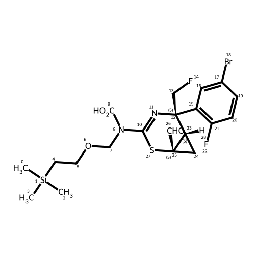 C[Si](C)(C)CCOCN(C(=O)O)C1=N[C@](CF)(c2cc(Br)ccc2F)[C@@H]2C[C@]2(C=O)S1